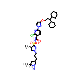 Cc1cn(CCCC2CNC(C)(C)C2)nc1S(=O)(=O)NC(=O)c1ccc(-n2ccc(OCCC(C3CCCCC3)C3CCCCC3)n2)nc1Cl